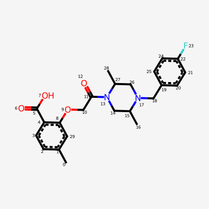 Cc1ccc(C(=O)O)c(OCC(=O)N2CC(C)N(Cc3ccc(F)cc3)CC2C)c1